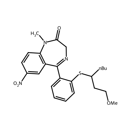 CCCCC(CCOC)Sc1ccccc1C1=NCC(=O)N(C)c2ccc([N+](=O)[O-])cc21